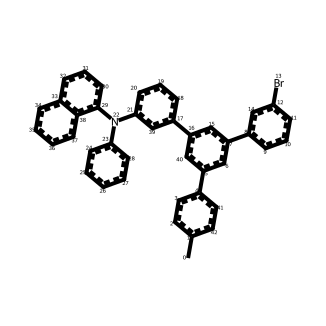 Cc1ccc(-c2cc(-c3cccc(Br)c3)cc(-c3cccc(N(c4ccccc4)c4cccc5ccccc45)c3)c2)cc1